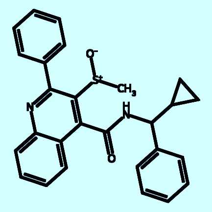 C[S+]([O-])c1c(-c2ccccc2)nc2ccccc2c1C(=O)NC(c1ccccc1)C1CC1